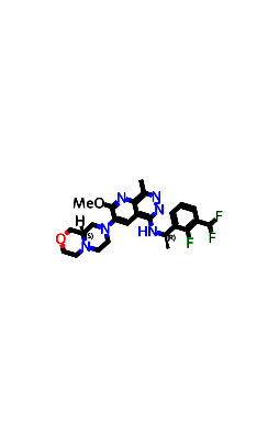 COc1nc2c(C)nnc(N[C@H](C)c3cccc(C(F)F)c3F)c2cc1N1CCN2CCOC[C@@H]2C1